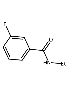 [CH2]CNC(=O)c1cccc(F)c1